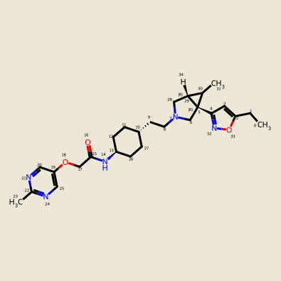 CCc1cc([C@@]23CN(CC[C@H]4CC[C@H](NC(=O)COc5cnc(C)nc5)CC4)C[C@@H]2C3C)no1